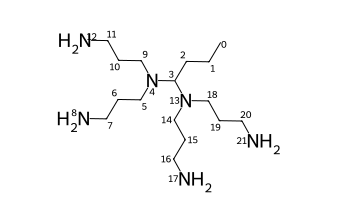 CCCC(N(CCCN)CCCN)N(CCCN)CCCN